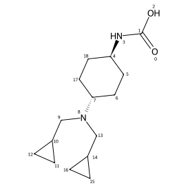 O=C(O)N[C@H]1CC[C@H](N(CC2CC2)CC2CC2)CC1